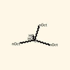 CCCCCCCCC=CCCCCCCCCOC(CCCCCCCCC=CCCCCCCCC)(CCCCCCCCC=CCCCCCCCC)C(O)CO